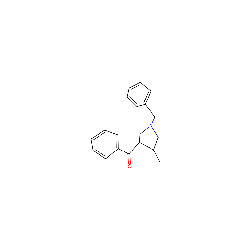 CC1CN(Cc2ccccc2)CC1C(=O)c1ccccc1